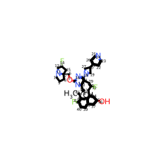 C#Cc1nc(OC[C@@]23CCCN2C[C@H](F)C3)nc(N2CC(c3ccncc3)C2)c1/C=C(/F)Cc1cc(O)cc2ccc(F)c(CC)c12